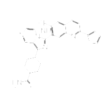 NC(=O)C1CCC(C2=C3C=NC=C[N+]3(N)C(c3cc4nc(-c5cccs5)ccc4cc3Cl)=N2)CC1